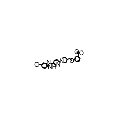 COC(=O)c1cccc(OCC2CCN(c3ccc(-c4nc5cc(Cl)ccc5[nH]4)cn3)CC2)c1